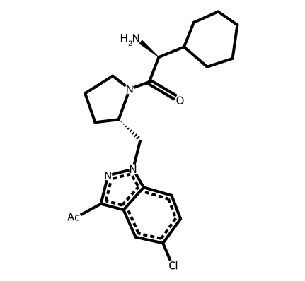 CC(=O)c1nn(C[C@@H]2CCCN2C(=O)[C@@H](N)C2CCCCC2)c2ccc(Cl)cc12